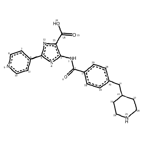 O=C(Nc1sc(-c2ccncc2)nc1C(=O)O)c1ccc(CC2CCNCC2)cc1